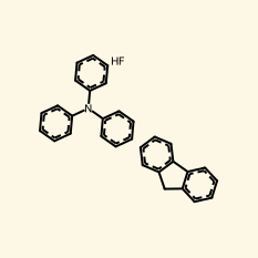 F.c1ccc(N(c2ccccc2)c2ccccc2)cc1.c1ccc2c(c1)Cc1ccccc1-2